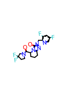 O=C(C1CCCc2nn(Cc3ncc(F)cc3F)c(=O)n21)N1CCC(F)(F)C1